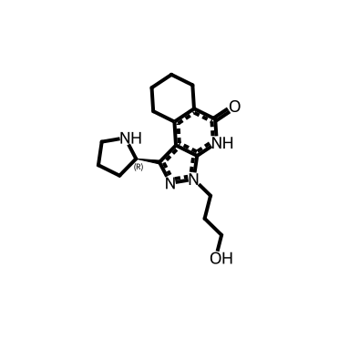 O=c1[nH]c2c(c([C@H]3CCCN3)nn2CCCO)c2c1CCCC2